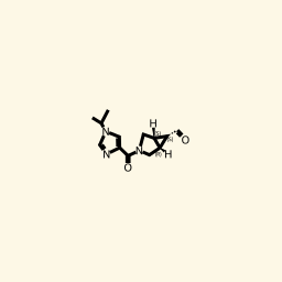 CC(C)n1cnc(C(=O)N2C[C@@H]3[C@H](C=O)[C@@H]3C2)c1